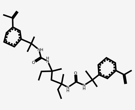 C=C(C)c1cccc(C(C)(C)NC(=O)NC(C)(CC)CC(C)(CC)NC(=O)NC(C)(C)c2cccc(C(=C)C)c2)c1